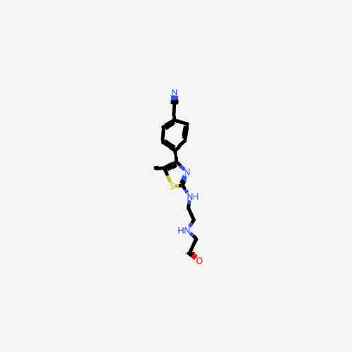 Cc1sc(NCCNC[C]=O)nc1-c1ccc(C#N)cc1